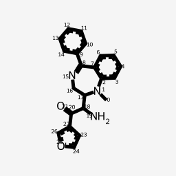 CN1c2ccccc2C(c2ccccc2)=NCC1C(N)C(=O)c1ccoc1